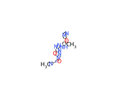 Cc1cc(Nc2ncnc3cc4c(nc23)N2CCN(C(=O)/C=C/C3CN(C)C3)C(CO4)C2)ccc1Oc1ccn2ccnc2c1